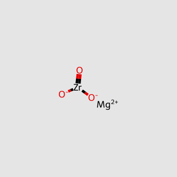 [Mg+2].[O]=[Zr]([O-])[O-]